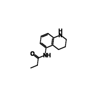 CCC(=O)Nc1cccc2c1CCCN2